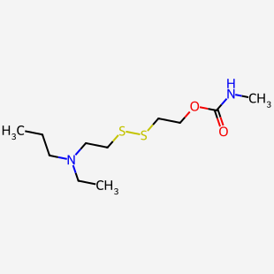 CCCN(CC)CCSSCCOC(=O)NC